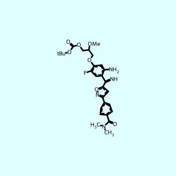 COC(COC(=O)OC(C)(C)C)COc1cc(N)c(C(=N)c2cc(-c3ccc(C(=O)N(C)C)cc3)no2)cc1F